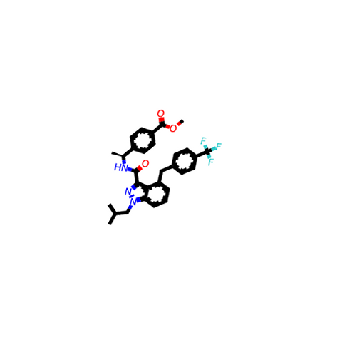 COC(=O)c1ccc([C@H](C)NC(=O)c2nn(CC(C)C)c3cccc(Cc4ccc(C(F)(F)F)cc4)c23)cc1